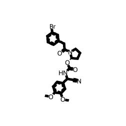 COc1ccc(C(C#N)NC(=O)O[C@H]2CCCN2C(=O)Cc2cccc(Br)c2)cc1OC